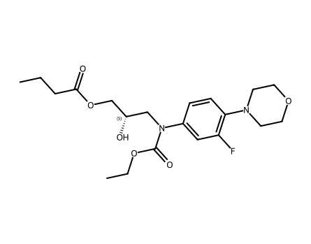 CCCC(=O)OC[C@@H](O)CN(C(=O)OCC)c1ccc(N2CCOCC2)c(F)c1